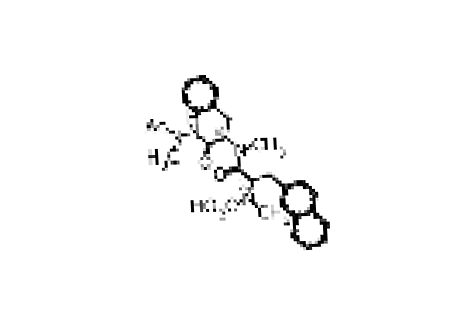 CC(=O)N(C)NC(=O)[C@@H](Cc1ccccc1)N(C)C(=O)[C@@H](Cc1ccc2ccccc2c1)N(C)C(=O)O